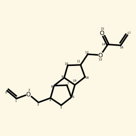 C=COCC1CC2CC1C1CC(COC(=O)C=C)CC21